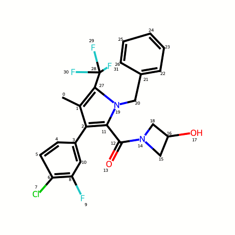 Cc1c(-c2ccc(Cl)c(F)c2)c(C(=O)N2CC(O)C2)n(Cc2ccccc2)c1C(F)(F)F